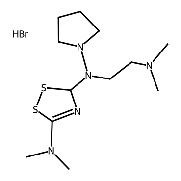 Br.CN(C)CCN(C1N=C(N(C)C)SS1)N1CCCC1